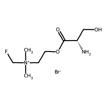 C[N+](C)(CF)CCOC(=O)[C@@H](N)CO.[Br-]